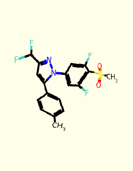 Cc1ccc(-c2cc(C(F)F)nn2-c2cc(F)c(S(C)(=O)=O)c(F)c2)cc1